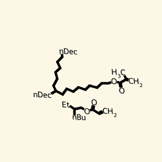 C=C(C)C(=O)OCCCCCCCCCC(CCCCCCCCCC)CCCCCCCCCCCCCCCC.C=CC(=O)OCC(CC)CCCC